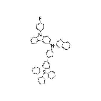 Fc1ccc(-n2c3ccccc3c3cc(N(c4ccc(-c5ccc([Si](c6ccccc6)(c6ccccc6)c6ccccc6)cc5)cc4)c4ccc5ccccc5c4)ccc32)cc1